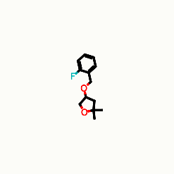 CC1(C)CC(OCc2ccccc2F)CO1